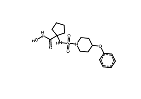 O=C(NO)C1(NS(=O)(=O)N2CCC(Oc3ccccc3)CC2)CCCC1